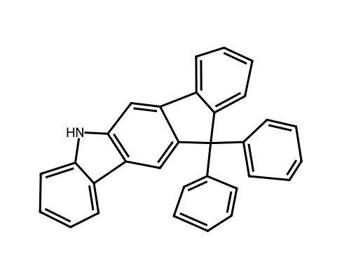 c1ccc(C2(c3ccccc3)c3ccccc3-c3cc4[nH]c5ccccc5c4cc32)cc1